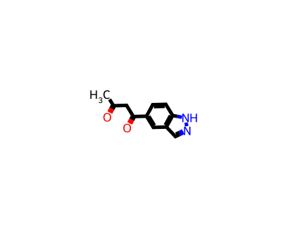 CC(=O)CC(=O)c1ccc2[nH]ncc2c1